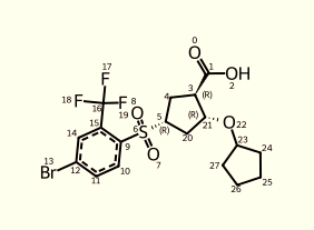 O=C(O)[C@@H]1C[C@@H](S(=O)(=O)c2ccc(Br)cc2C(F)(F)F)C[C@H]1OC1CCCC1